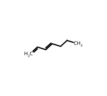 C=CC=CC[CH]C